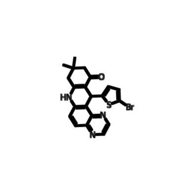 CC1(C)CC(=O)C2=C(C1)Nc1ccc3nccnc3c1C2c1ccc(Br)s1